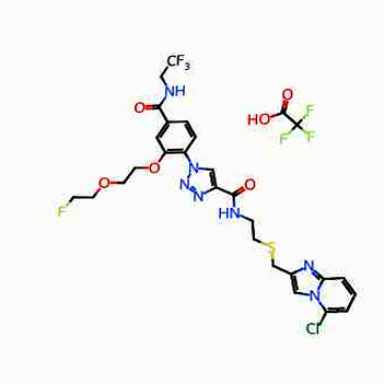 O=C(NCC(F)(F)F)c1ccc(-n2cc(C(=O)NCCSCc3cn4c(Cl)cccc4n3)nn2)c(OCCOCCF)c1.O=C(O)C(F)(F)F